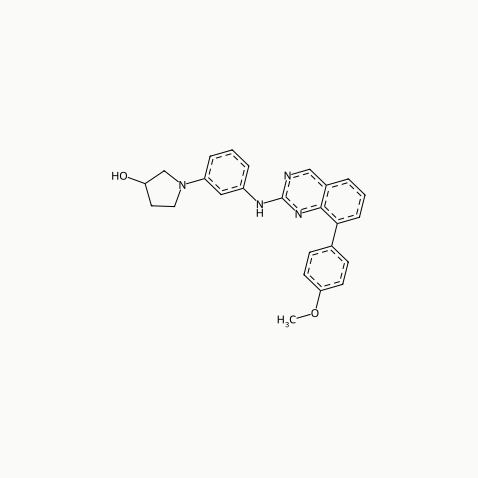 COc1ccc(-c2cccc3cnc(Nc4cccc(N5CCC(O)C5)c4)nc23)cc1